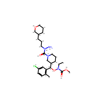 CCN(O[C@@H](c1cc(Cl)ccc1C)C1CCCN(C(=O)N(N)CCCC2CCCOC2)C1)C(=O)OC